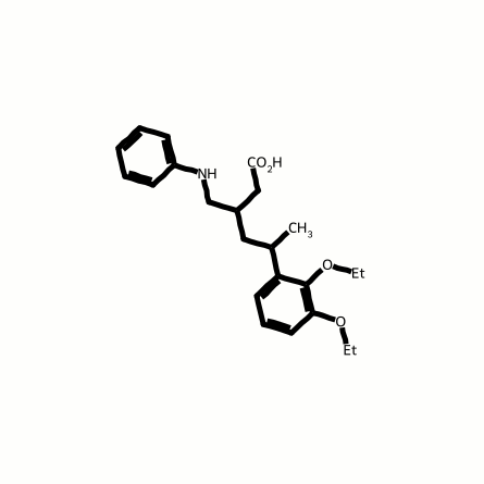 CCOc1cccc(C(C)CC(CNc2ccccc2)CC(=O)O)c1OCC